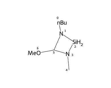 CCCCN1[SiH2]N(C)C1OC